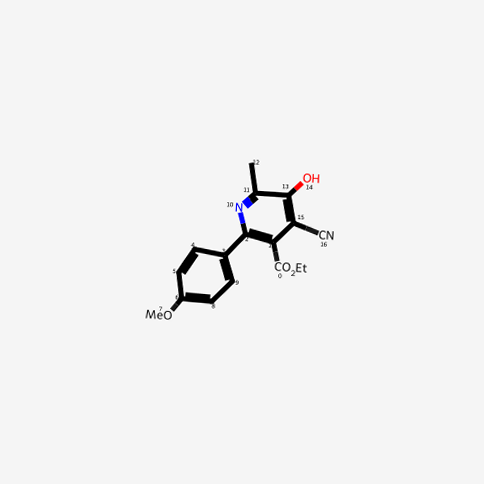 CCOC(=O)c1c(-c2ccc(OC)cc2)nc(C)c(O)c1C#N